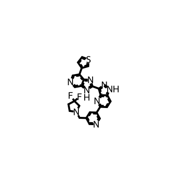 FC1(F)CCN(Cc2cncc(-c3ccc4[nH]nc(-c5nc6c(-c7ccsc7)cncc6[nH]5)c4n3)c2)C1